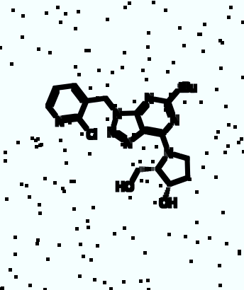 CC(C)(C)c1nc(N2CC[C@H](O)[C@@H]2CO)c2nnn(Cc3cccnc3Cl)c2n1